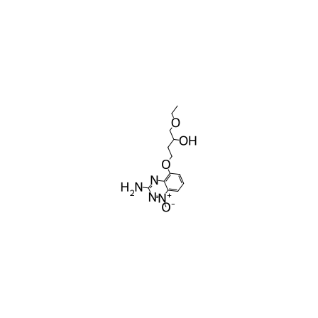 CCOCC(O)CCOc1cccc2c1nc(N)n[n+]2[O-]